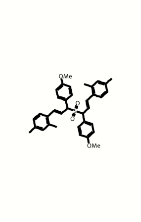 COc1ccc(C(C=Cc2ccc(C)cc2C)S(=O)(=O)C(C=Cc2ccc(C)cc2C)c2ccc(OC)cc2)cc1